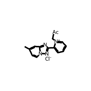 CC(=O)C[n+]1ccccc1-c1nc2cc(C)ccn2n1.[Cl-]